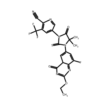 CCOC1=NC(=O)C2C=C(N3C(=S)N(c4cnc(C#N)c(C(F)(F)F)c4)C(=O)C3(C)C)C=C(F)C2=N1